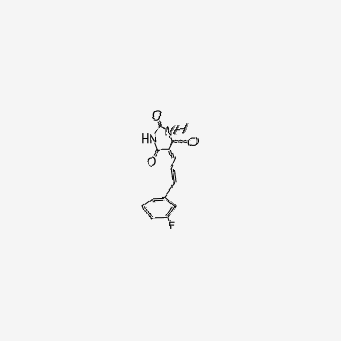 O=C1NC(=O)C(=C/C=C/c2cccc(F)c2)C(=O)N1